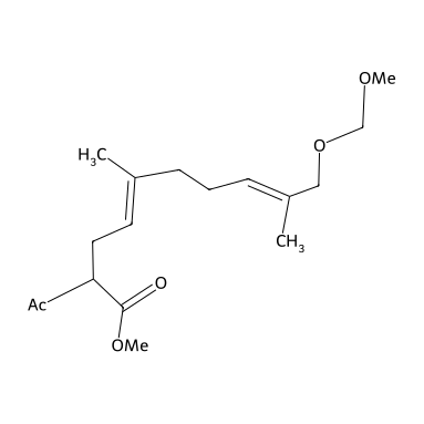 COCOCC(C)=CCCC(C)=CCC(C(C)=O)C(=O)OC